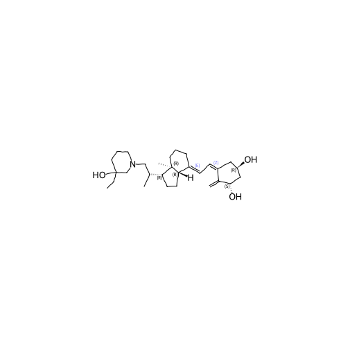 C=C1/C(=C\C=C2/CCC[C@]3(C)[C@@H](C(C)CN4CCCC(O)(CC)C4)CC[C@@H]23)C[C@@H](O)C[C@@H]1O